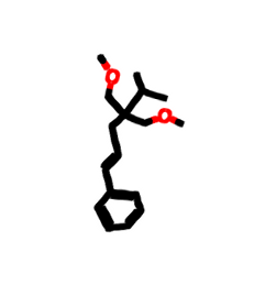 COCC(CC=Cc1ccccc1)(COC)C(C)C